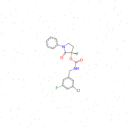 O=C(NCc1cc(F)cc(Cl)c1)O[C@@]1(F)CCN(c2ccccc2)C1=O